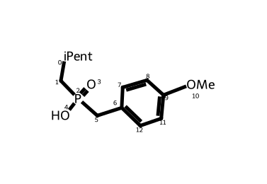 CCCC(C)CP(=O)(O)Cc1ccc(OC)cc1